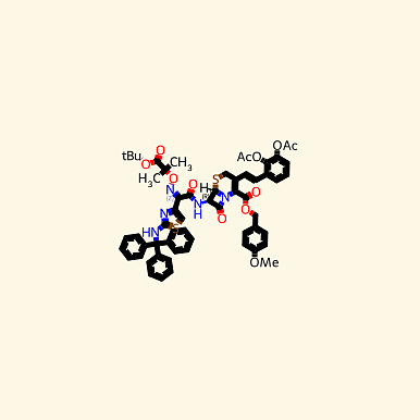 COc1ccc(COC(=O)C2=C(C=Cc3cccc(OC(C)=O)c3OC(C)=O)CS[C@@H]3[C@H](NC(=O)/C(=N\OC(C)(C)C(=O)OC(C)(C)C)c4csc(NC(c5ccccc5)(c5ccccc5)c5ccccc5)n4)C(=O)N23)cc1